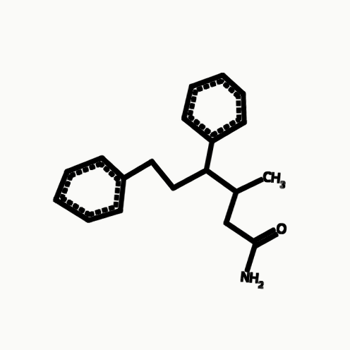 CC(CC(N)=O)C(CCc1ccccc1)c1ccccc1